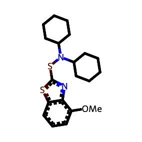 COc1cccc2sc(SN(C3CCCCC3)C3CCCCC3)nc12